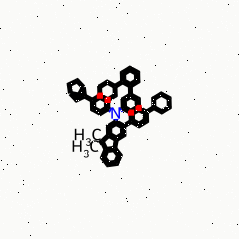 CC1(C)c2ccccc2-c2cc(-c3ccc(C4CCCCC4)cc3)c(N(c3ccc(C4CC5CCC4C5)cc3)c3cccc(-c4ccccc4C4CCCCC4)c3)cc21